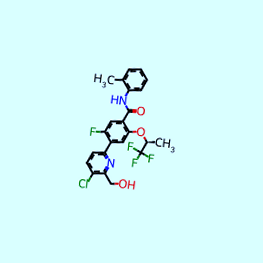 Cc1ccccc1NC(=O)c1cc(F)c(-c2ccc(Cl)c(CO)n2)cc1O[C@@H](C)C(F)(F)F